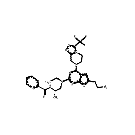 CCCc1cc2c(N3CCn4c(nnc4C(F)(F)F)C3)nc(N(CC)C[C@H](C)NC(=O)c3ccccn3)nc2s1